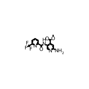 COC(=O)c1cc(N)ncc1NC(=O)c1cccc(C(F)(F)F)n1